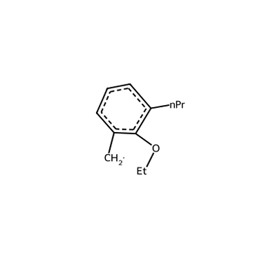 [CH2]c1cccc(CCC)c1OCC